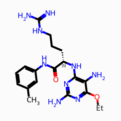 CCOc1nc(N)nc(N[C@@H](CCCNC(=N)N)C(=O)Nc2cccc(C)c2)c1N